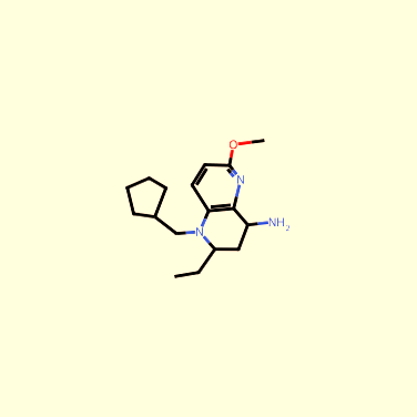 CCC1CC(N)c2nc(OC)ccc2N1CC1CCCC1